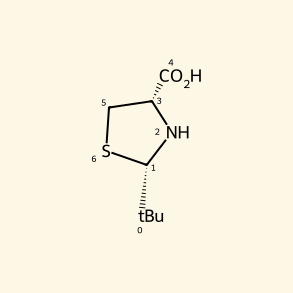 CC(C)(C)[C@H]1N[C@@H](C(=O)O)CS1